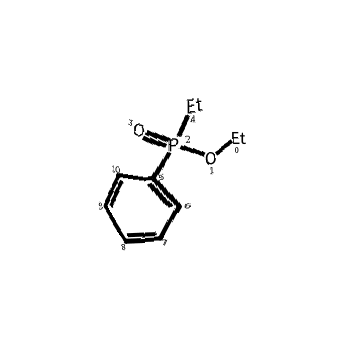 CCOP(=O)(CC)c1ccccc1